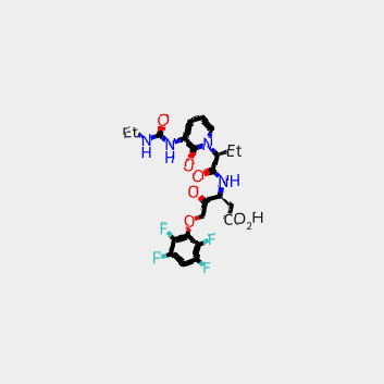 CCNC(=O)Nc1cccn([C@@H](CC)C(=O)N[C@@H](CC(=O)O)C(=O)COc2c(F)c(F)cc(F)c2F)c1=O